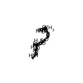 Cn1c(=O)n(C2CCC(=O)NC2=O)c2ccc(CN3CCN(CCO[C@H]4C[C@H](N(C)C(=O)[C@H]5CC[C@H](n6cc(NC(=O)c7coc(-c8ccnc(NCC9CC9)c8)n7)c(C(F)F)n6)CC5)C4)CC3)cc21